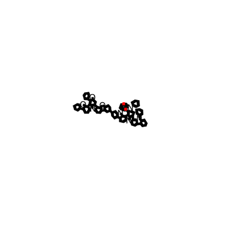 c1ccc(-n2c3ccccc3c3c4c5c6c(ccc5n5c7ccc8c9ccccc9n(-c9ccccc9)c8c7c(cc32)c45)c2ccc(-c3ccc4oc5c(ccc7c5c5cc8oc9ccccc9c8c8c9c%10oc%11ccccc%11c%10ccc9n7c58)c4c3)cc2n6-c2ccccc2)cc1